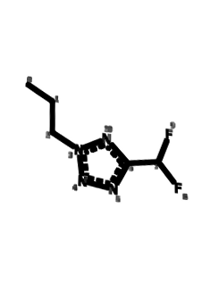 CCCn1nnc(C(F)F)n1